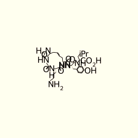 CC(C)C[C@H](NC(=O)[C@H](Cc1ccc(O)cc1)NC(=O)[C@@H]1C/C=C/C[C@H](N)C(=O)NCC(=O)N[C@@H](CCCCN)C(=O)N1)C(=O)O